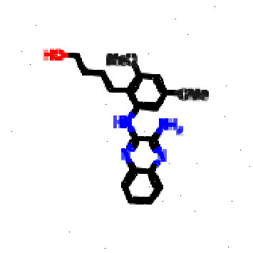 COc1cc(Nc2nc3ccccc3nc2N)c(CCCCO)c(OC)c1